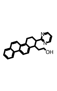 OCCC1c2ccc3c(ccc4ccccc43)c2CCC1c1ncccn1